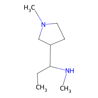 CCC(NC)C1CCN(C)C1